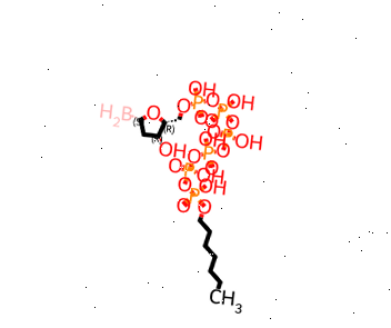 B[C@H]1C[C@@H](O)[C@@H](COP(=O)(O)OP(=O)(O)OP(=O)(O)OP(=O)(O)OP(=O)(O)OP(=O)(O)OCCCCCCC)O1